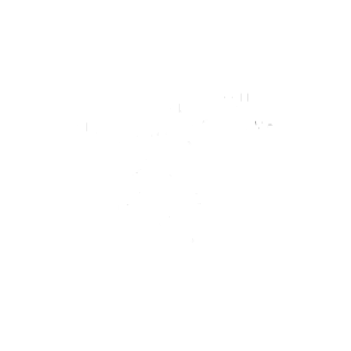 COc1c(Cl)ccc(Cl)c1C(=O)O.CS(=O)(=O)c1ccc(C(=O)C2C(=O)CCCC2=O)c(Cl)c1COCC(F)(F)F